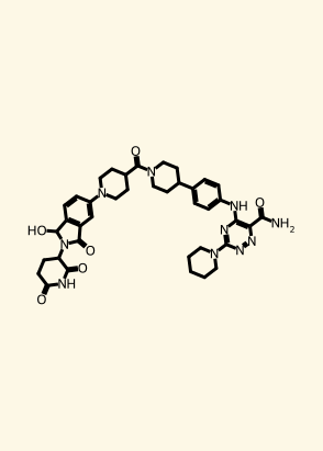 NC(=O)c1nnc(N2CCCCC2)nc1Nc1ccc(C2CCN(C(=O)C3CCN(c4ccc5c(c4)C(=O)N(C4CCC(=O)NC4=O)C5O)CC3)CC2)cc1